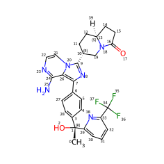 C[C@@](O)(c1ccc(-c2nc([C@@H]3CC[C@H]4CCC(=O)N4C3)n3ccnc(N)c23)cc1)c1cccc(C(F)(F)F)n1